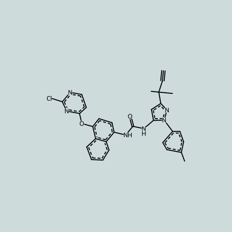 C#CC(C)(C)c1cc(NC(=O)Nc2ccc(Oc3ccnc(Cl)n3)c3ccccc23)n(-c2ccc(C)cc2)n1